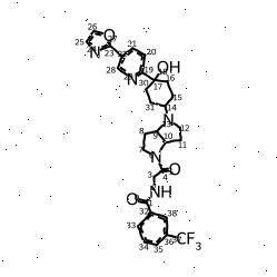 O=C(NCC(=O)N1CCC2C1CCN2C1CCC(O)(c2ccc(-c3ncco3)cn2)CC1)c1cccc(C(F)(F)F)c1